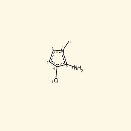 Cn1ccc(Cl)c1N